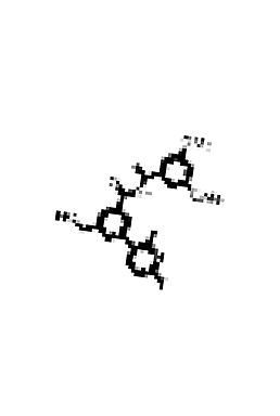 COc1cc(OC)cc(C(C)NC(=O)c2cc(CO)cc(-c3ccc(F)nc3C)c2)c1